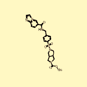 CC(C)(C)OC(=O)N1CC2CN(S(=O)(=O)c3ccc(CNC(=O)c4ccc5nccn5c4)cc3)CC2C1